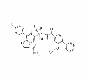 C[C@]1(C(N)=O)COc2c1cc(C(O)(CNC(=O)c1ccc(-c3cnccn3)c(OC3CC3)c1)C(F)(F)F)nc2-c1ccc(F)cc1